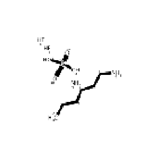 CCCCCCN.F.F.N.O=S(=O)(O)O